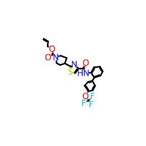 C=CCOC(=O)N1CCC(c2nc(C(=O)Nc3ccccc3-c3ccc(OC(F)(F)F)cc3)cs2)CC1